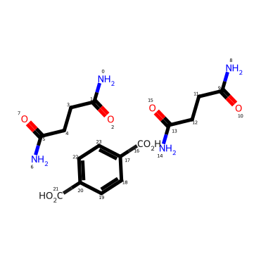 NC(=O)CCC(N)=O.NC(=O)CCC(N)=O.O=C(O)c1ccc(C(=O)O)cc1